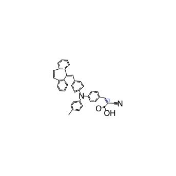 Cc1ccc(N(c2ccc(C=C3c4ccccc4C=Cc4ccccc43)cc2)c2ccc(/C=C(/C#N)C(=O)O)cc2)cc1